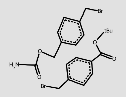 CC(C)(C)OC(=O)c1ccc(CBr)cc1.NC(=O)OCc1ccc(CBr)cc1